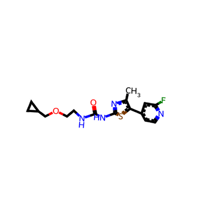 Cc1nc(NC(=O)NCCOCC2CC2)sc1-c1ccnc(F)c1